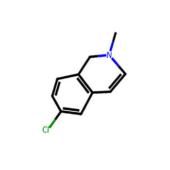 CN1C=Cc2cc(Cl)ccc2C1